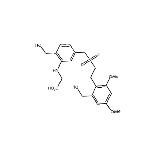 COc1cc(CO)c(CCS(=O)(=O)Cc2ccc(CO)c(NCC(=O)O)c2)c(OC)c1